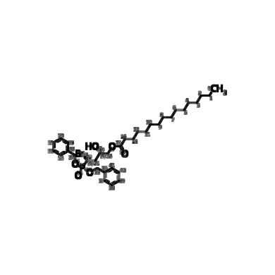 CCCCCCCCCCCCCCCC(=O)OC[C@@H](O)C[C@H](Br)P(=O)(OCc1ccccc1)OCc1ccccc1